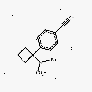 C#Cc1ccc(C2(N(C(=O)O)C(C)(C)C)CCC2)cc1